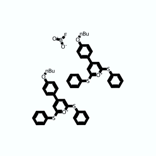 CCCCOc1ccc(-c2cc(Sc3ccccc3)[o+]c(Sc3ccccc3)c2)cc1.CCCCOc1ccc(-c2cc(Sc3ccccc3)[o+]c(Sc3ccccc3)c2)cc1.[O-]B([O-])F